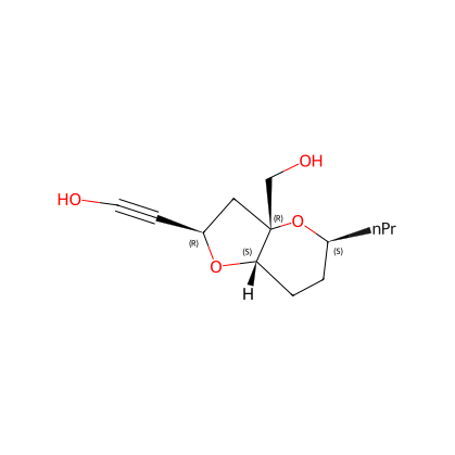 CCC[C@H]1CC[C@@H]2O[C@@H](C#CO)C[C@]2(CO)O1